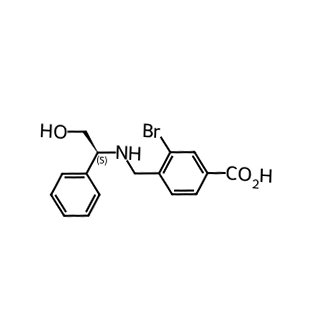 O=C(O)c1ccc(CN[C@H](CO)c2ccccc2)c(Br)c1